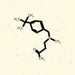 CC(=O)CCN(C)Cc1ccc(C(C)(C)C)cc1